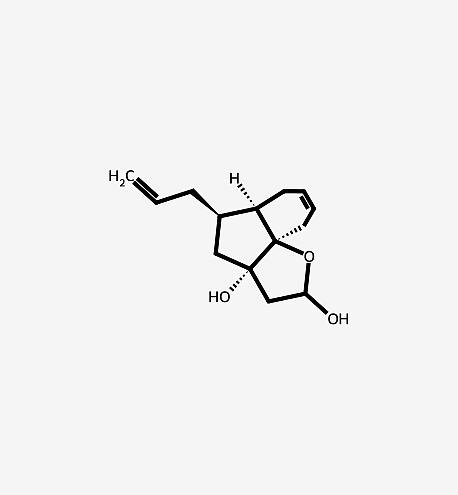 C=CC[C@@H]1C[C@]2(O)CC(O)O[C@@]23CC=CC[C@H]13